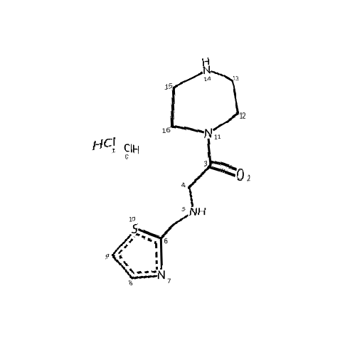 Cl.Cl.O=C(CNc1nccs1)N1CCNCC1